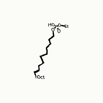 CCCCCCCCC=CCCCCCCCCOP(=O)(O)OCC